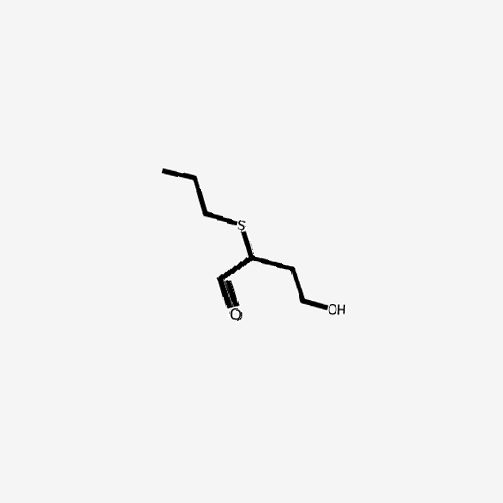 CCCSC(C=O)CCO